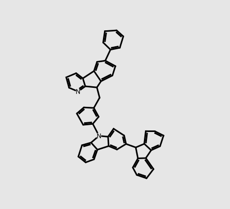 c1ccc(-c2ccc3c(c2)-c2cccnc2C3Cc2cccc(-n3c4ccccc4c4cc(C5c6ccccc6-c6ccccc65)ccc43)c2)cc1